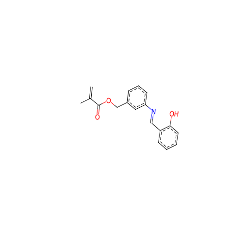 C=C(C)C(=O)OCc1cccc(N=Cc2ccccc2O)c1